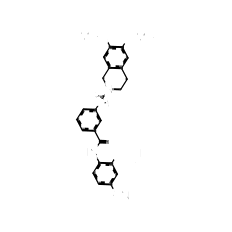 COc1cc2c(cc1OC)CN(S(=O)(=O)c1cccc(C(=O)Nc3ccc(C#N)cc3C(=O)O)c1)CC2